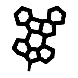 Cn1c2cccc3c4cc5ccccc5c5c6ccccc6n(c6cccc1c6c32)c45